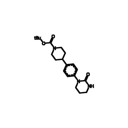 CC(C)(C)OC(=O)N1CCC(c2ccc(N3CCCNC3=O)cc2)CC1